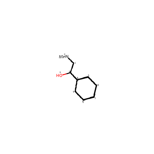 CNCC(O)C1CCCCC1